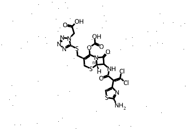 Nc1nc(C(C(=O)NC2C(=O)N3C(OC(=O)O)=C(CSc4nnnn4CC(=O)O)CS[C@@H]23)=C(Cl)Cl)cs1